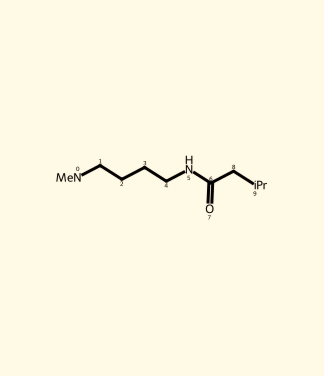 CNCCCCNC(=O)CC(C)C